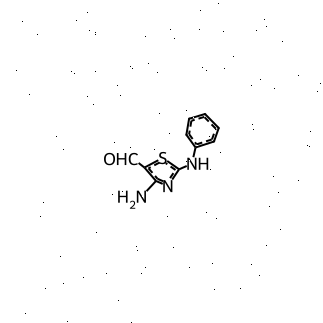 Nc1nc(Nc2ccccc2)sc1C=O